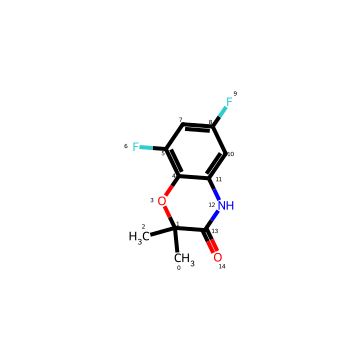 CC1(C)Oc2c(F)cc(F)cc2NC1=O